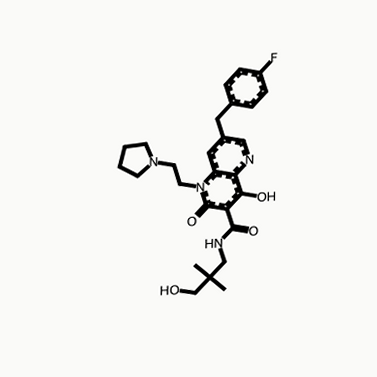 CC(C)(CO)CNC(=O)c1c(O)c2ncc(Cc3ccc(F)cc3)cc2n(CCN2CCCC2)c1=O